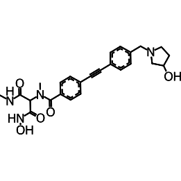 CNC(=O)C(C(=O)NO)N(C)C(=O)c1ccc(C#Cc2ccc(CN3CCC(O)C3)cc2)cc1